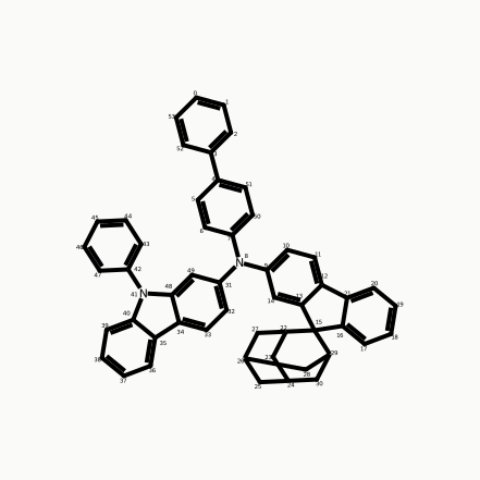 c1ccc(-c2ccc(N(c3ccc4c(c3)C3(c5ccccc5-4)C4CC5CC(C4)CC3C5)c3ccc4c5ccccc5n(-c5ccccc5)c4c3)cc2)cc1